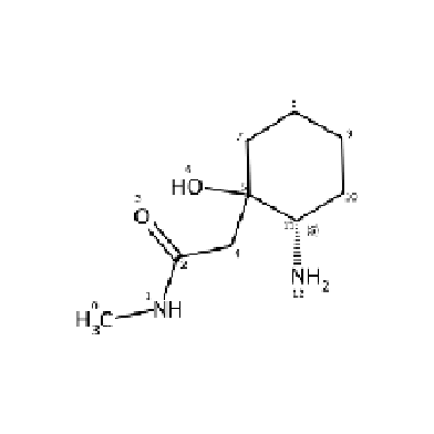 CNC(=O)CC1(O)CCCC[C@@H]1N